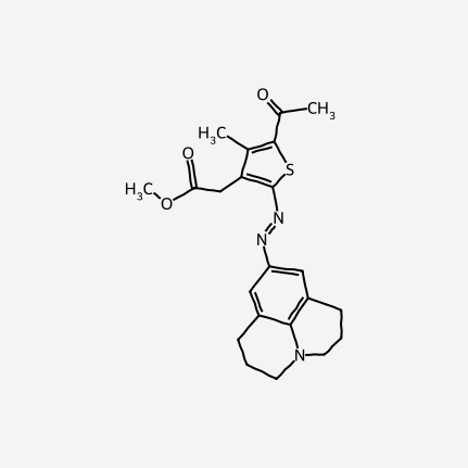 COC(=O)Cc1c(N=Nc2cc3c4c(c2)CCCN4CCC3)sc(C(C)=O)c1C